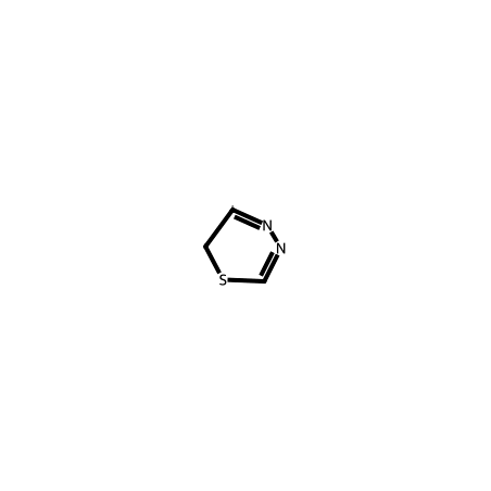 [C]1=NN=CSC1